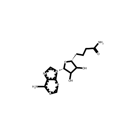 NC(=O)CCC[C@H]1O[C@@H](n2cnc3c(N)ncnc32)C(O)C1O